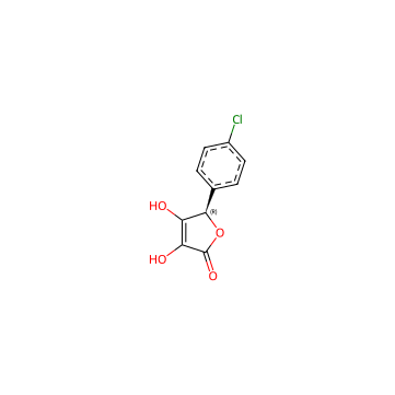 O=C1O[C@H](c2ccc(Cl)cc2)C(O)=C1O